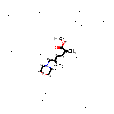 C=C(CCC(=C)C(=O)OC)CN1CCOCC1